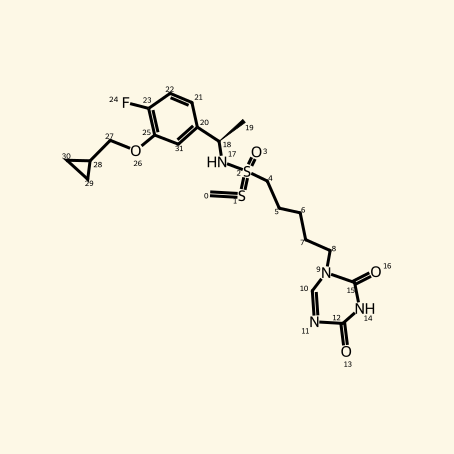 C=S=S(=O)(CCCCCn1cnc(=O)[nH]c1=O)N[C@H](C)c1ccc(F)c(OCC2CC2)c1